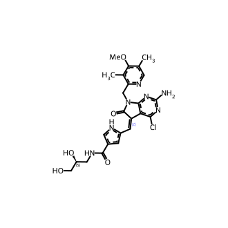 COc1c(C)cnc(CN2C(=O)/C(=C\c3cc(C(=O)NC[C@H](O)CO)c[nH]3)c3c(Cl)nc(N)nc32)c1C